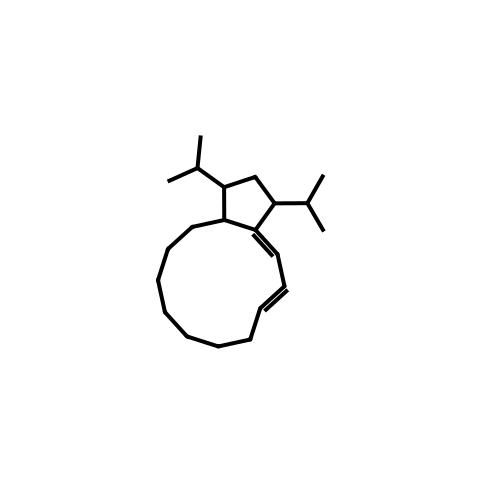 CC(C)C1CC(C(C)C)C2CCCCCCC/C=C/C=C/12